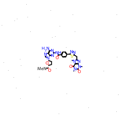 CNC(=O)[C@H]1CC[C@H](n2cnc3c(N)nc(NC(=O)c4ccc(-c5nnc(Cc6nc7c(c(=O)n(C)c(=O)n7C)n6C)s5)cc4)nc32)O1